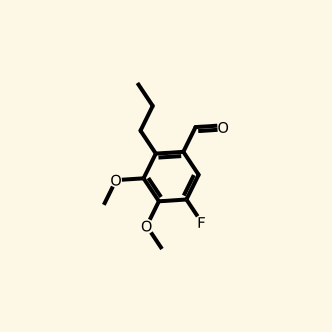 CCCc1c(C=O)cc(F)c(OC)c1OC